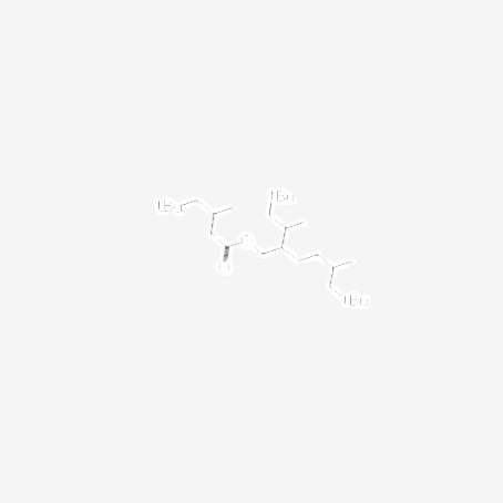 CC(CCC(COC(=O)CC(C)CC(C)(C)C)C(C)CC(C)(C)C)CC(C)(C)C